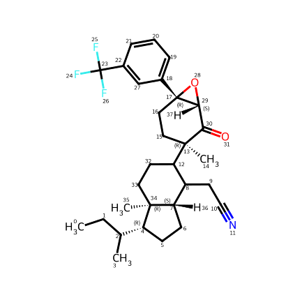 CCC(C)[C@H]1CC[C@H]2C(CC#N)C([C@@]3(C)CC[C@]4(c5cccc(C(F)(F)F)c5)O[C@@H]4C3=O)CC[C@]12C